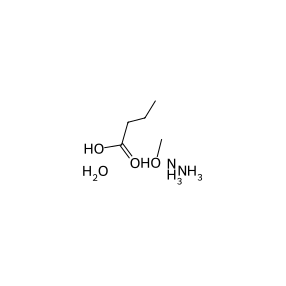 CCCC(=O)O.CO.N.N.O